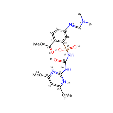 COC(=O)c1ccc(N=CN(C)C)cc1S(=O)(=O)NC(=O)Nc1nc(OC)cc(OC)n1